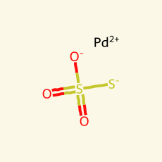 O=S(=O)([O-])[S-].[Pd+2]